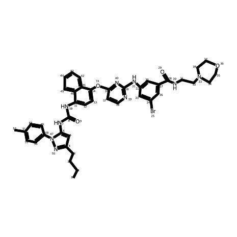 CCCCc1cc(NC(=O)Nc2ccc(Oc3ccnc(Nc4cc(Br)cc(C(=O)NCCN5CCOCC5)c4)n3)c3ccccc23)n(-c2ccc(C)cc2)n1